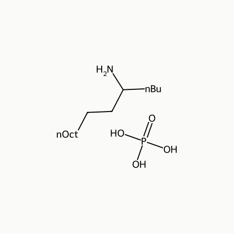 CCCCCCCCCCC(N)CCCC.O=P(O)(O)O